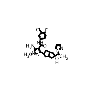 C=C(n1cccn1)C1(O)CC2CC(c3nn(C)c(N)c3C(=O)Nc3ccc(F)c(Cl)c3)CC2C1